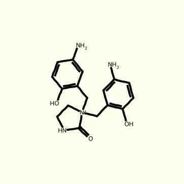 Nc1ccc(O)c(C[N+]2(Cc3cc(N)ccc3O)CCNC2=O)c1